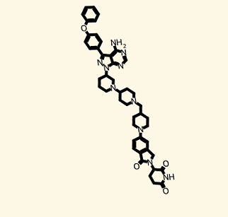 Nc1ncnc2c1c(-c1ccc(Oc3ccccc3)cc1)nn2C1CCCN(C2CCN(CC3CCN(c4ccc5c(c4)CN(C4CCC(=O)NC4=O)C5=O)CC3)CC2)C1